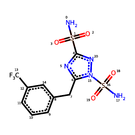 NS(=O)(=O)c1nc(Cc2cccc(C(F)(F)F)c2)n(S(N)(=O)=O)n1